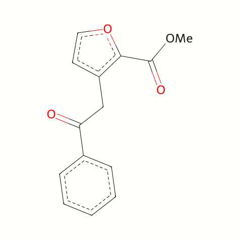 COC(=O)c1occc1CC(=O)c1ccccc1